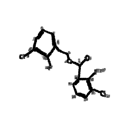 [O]C(OCc1cccc(Cl)c1F)c1cccc(Cl)c1F